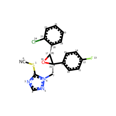 N#CSc1ncnn1C[C@]1(c2ccc(F)cc2)O[C@@H]1c1ccccc1Cl